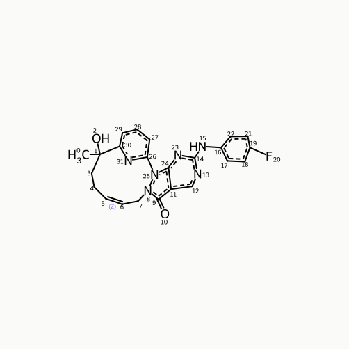 CC1(O)CC/C=C\Cn2c(=O)c3cnc(Nc4ccc(F)cc4)nc3n2-c2cccc1n2